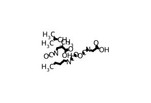 CCCCN=C=O.C[C@@H](CN=C=O)C(=O)O.C[C](C)C.O=C=NCC(=O)O